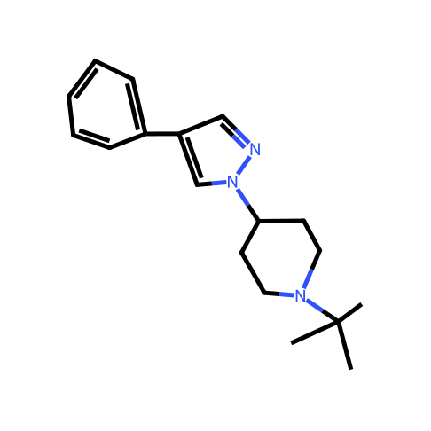 CC(C)(C)N1CCC(n2cc(-c3ccccc3)cn2)CC1